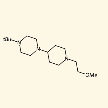 COCCN1CCC(N2CCN(C(C)(C)C)CC2)CC1